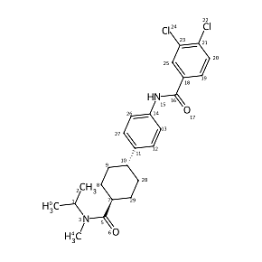 CC(C)N(C)C(=O)[C@H]1CC[C@H](c2ccc(NC(=O)c3ccc(Cl)c(Cl)c3)cc2)CC1